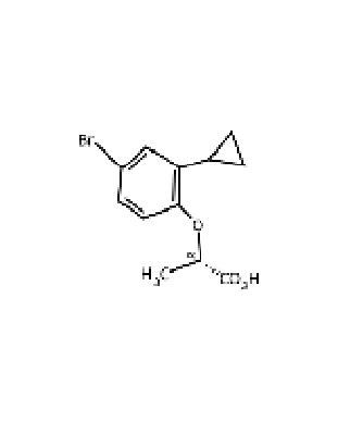 C[C@H](Oc1ccc(Br)cc1C1CC1)C(=O)O